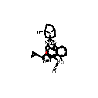 O=C=Nc1ccc2nc(N3C4CC[C@H]3C[C@H](OCc3c(-c5c(Cl)cccc5Cl)noc3C3CC3)C4)sc2c1